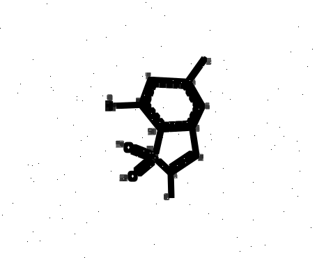 CC1=Cc2cc(C)cc(Br)c2S1(=O)=O